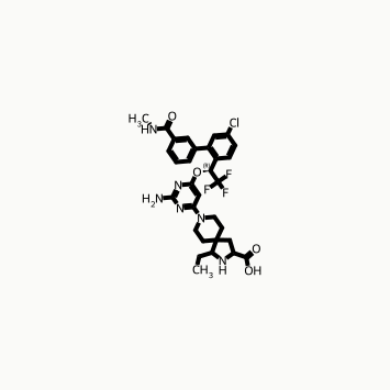 CCC1NC(C(=O)O)CC12CCN(c1cc(O[C@H](c3ccc(Cl)cc3-c3cccc(C(=O)NC)c3)C(F)(F)F)nc(N)n1)CC2